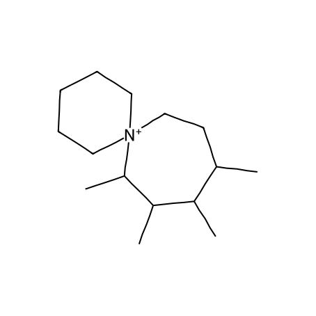 CC1CC[N+]2(CCCCC2)C(C)C(C)C1C